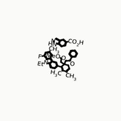 CCn1c2ccc(C3=C(C)C(C)=CCC3(CCOC)C(=O)C(=O)c3ccccc3)cc2c2cc(C)cc(F)c21.O=C(O)c1ccc2[nH]ncc2c1